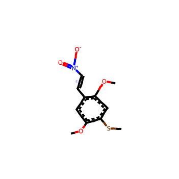 COc1cc(SC)c(OC)cc1/C=C/[N+](=O)[O-]